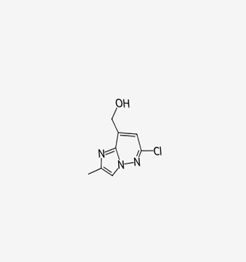 Cc1cn2nc(Cl)cc(CO)c2n1